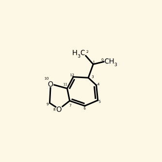 CC(C)C1C=CC=C2OCOC2=C1